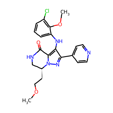 COCC[C@@H]1CNC(=O)c2c(Nc3cccc(Cl)c3OC)c(-c3ccncc3)nn21